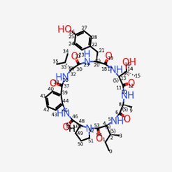 CC[C@H](C)[C@@H]1NC(=O)[C@H](C)NC(=O)[C@H]([C@@H](C)O)NC(=O)[C@H](Cc2ccc(O)cc2)NC(=O)[C@@H](C(C)C)NC(=O)c2ccccc2NC(=O)[C@@H]2CCCN2C1=O